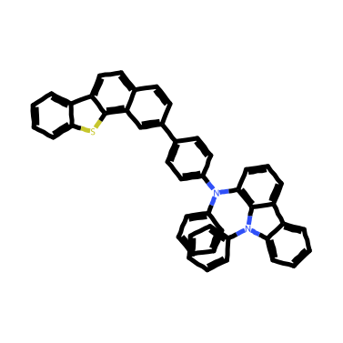 c1ccc(N(c2ccc(-c3ccc4ccc5c6ccccc6sc5c4c3)cc2)c2cccc3c4ccccc4n(-c4ccccc4)c23)cc1